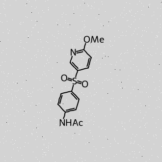 COc1ccc(S(=O)(=O)c2ccc(NC(C)=O)cc2)cn1